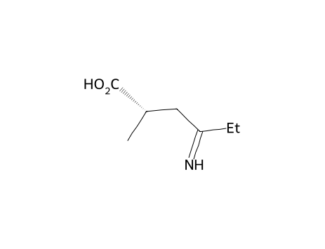 CCC(=N)C[C@H](C)C(=O)O